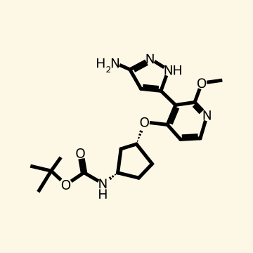 COc1nccc(O[C@@H]2CC[C@H](NC(=O)OC(C)(C)C)C2)c1-c1cc(N)n[nH]1